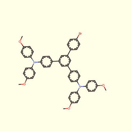 COc1ccc(N(c2ccc(OC)cc2)c2ccc(-c3cc(-c4ccc(Br)cc4)cc(-c4ccc(N(c5ccc(OC)cc5)c5ccc(OC)cc5)cc4)c3)cc2)cc1